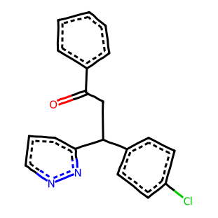 O=C(CC(c1ccc(Cl)cc1)c1cccnn1)c1ccccc1